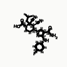 CC(C)CC1(C#N)[C@@H](C#N)[C@@H](n2cc(C(N)=O)c(Nc3ccc(F)cc3)n2)CCN1C(=O)O